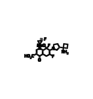 COC1(F)C(N2CCC(C3(N)CCC3)C2)=C(F)Cc2c1n([C@@H]1C[C@@H]1F)cc(C(=O)O)c2=O